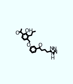 CCCc1c(COc2cccc(C(=O)CCCc3nnn[nH]3)c2)ccc(C(C)=O)c1O